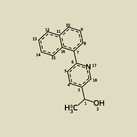 CC(O)c1ccc(-c2cccc3ccccc23)nc1